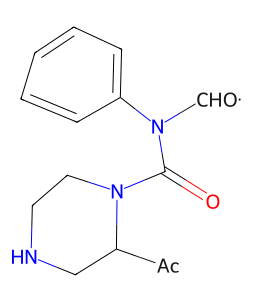 CC(=O)C1CNCCN1C(=O)N([C]=O)c1ccccc1